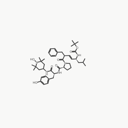 CC(C)C[C@@H](/C=C/C(Cc1ccccc1)C(=O)N1CCC[C@H]1C(=O)N[C@@H](Cc1ccc(O)cc1)C(=O)NC1CC(C)(C)N(O)C(C)(C)C1)NC(=O)OC(C)(C)C